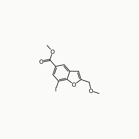 COCc1cc2cc(C(=O)OC)cc(I)c2o1